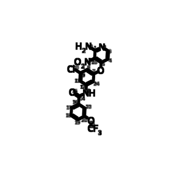 Nc1nccc(Oc2cc(Cl)cc(NC(=O)c3cccc(OC(F)(F)F)c3)c2)c1[N+](=O)[O-]